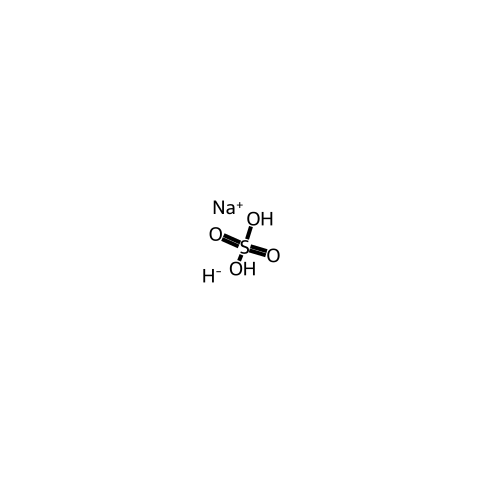 O=S(=O)(O)O.[H-].[Na+]